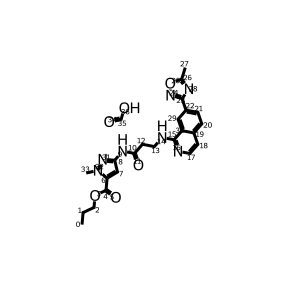 CCCOC(=O)c1cc(NC(=O)CCNc2nccc3ccc(-c4noc(C)n4)cc23)nn1C.O=CO